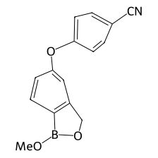 COB1OCc2cc(Oc3ccc(C#N)cc3)ccc21